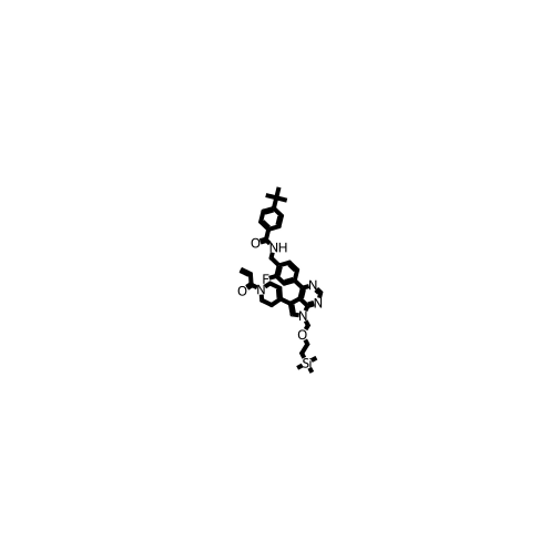 C=CC(=O)N1CC=C(c2cn(COCC[Si](C)(C)C)c3ncnc(-c4ccc(CNC(=O)c5ccc(C(C)(C)C)cc5)c(F)c4)c23)CC1